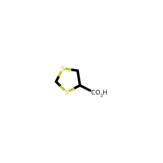 O=C(O)C1CSCS1